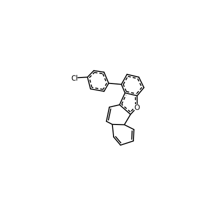 Clc1ccc(-c2cccc3oc4c(c23)C=CC2C=CC=CC42)cc1